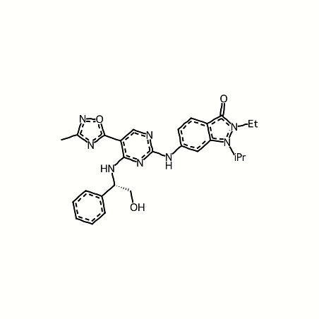 CCn1c(=O)c2ccc(Nc3ncc(-c4nc(C)no4)c(N[C@H](CO)c4ccccc4)n3)cc2n1C(C)C